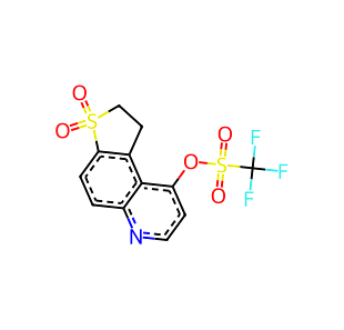 O=S1(=O)CCc2c1ccc1nccc(OS(=O)(=O)C(F)(F)F)c21